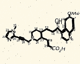 COc1ccc2nccc([C@@H](O)CCC3CCN(CC#Cc4nccn4C)CC3CCC(=O)O)c2c1